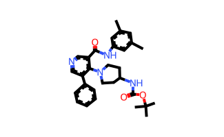 Cc1cc(C)cc(NC(=O)c2cncc(-c3ccccc3)c2N2CCC(NC(=O)OC(C)(C)C)CC2)c1